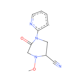 CON1CC(=O)N(c2[c]cccn2)CC1C#N